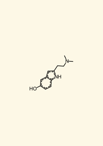 CN(C)CCc1cc2cc(O)ccc2[nH]1